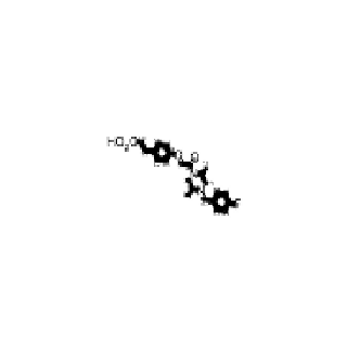 CC1CN(C(=O)COc2ccc(CCC(=O)O)cc2)C(C)CN1Cc1ccc(F)cc1